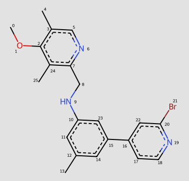 COc1c(C)cnc(CNc2cc(C)cc(-c3ccnc(Br)c3)c2)c1C